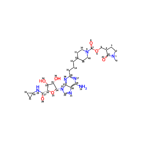 CN1CCC(COC(=O)N2CCC(CCCc3nc(N)c4ncn([C@@H]5O[C@H](C(=O)NC6CC6)C(O)[C@@H]5O)c4n3)CC2)C1=O